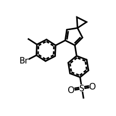 Cc1cc(C2=CC3(C=C2c2ccc(S(C)(=O)=O)cc2)CC3)ccc1Br